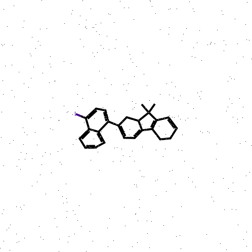 CC1(C)C2=C(CCC=C2)C2=CC=C(c3ccc(I)c4ccccc34)CC21